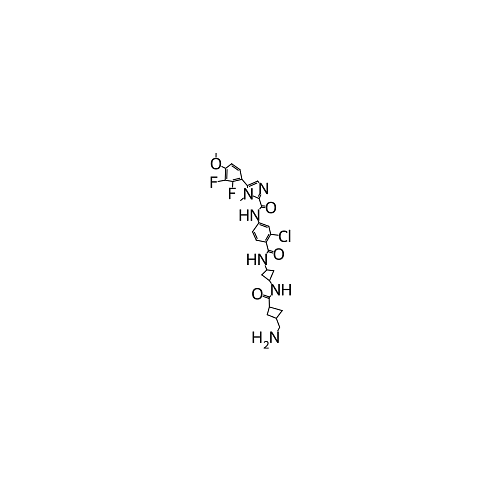 COc1ccc(-c2cnc(C(=O)Nc3ccc(C(=O)NC4CC(NC(=O)C5CC(CN)C5)C4)c(Cl)c3)n2C)c(F)c1F